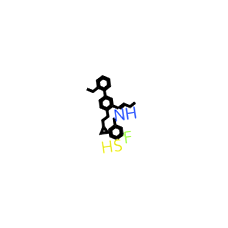 CC/C=C(\NCc1ccc(S)c(F)c1)c1cc(-c2ccccc2CC)ccc1CCC1CC1